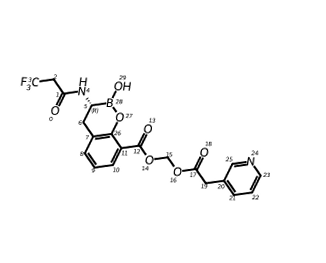 O=C(CC(F)(F)F)N[C@H]1Cc2cccc(C(=O)OCOC(=O)Cc3cccnc3)c2OB1O